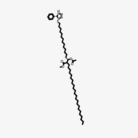 CCCCCCCCCCCCCCCCCCCCCCCCC(C(=O)OC)[C@@H](CCCCCCCCCCCCCCSN1N=NN[C@H]1c1ccccc1)OC(C)=O